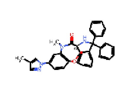 Cc1cnn(-c2ccc3c(c2)N(C)C(=O)[C@@H](NC(c2ccccc2)(c2ccccc2)c2ccccc2)CO3)c1